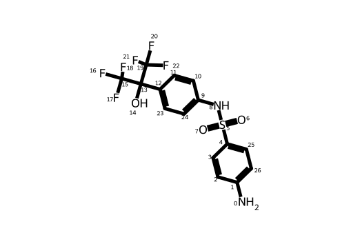 Nc1ccc(S(=O)(=O)Nc2ccc(C(O)(C(F)(F)F)C(F)(F)F)cc2)cc1